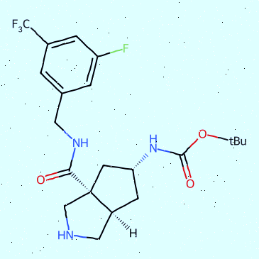 CC(C)(C)OC(=O)N[C@@H]1C[C@H]2CNC[C@@]2(C(=O)NCc2cc(F)cc(C(F)(F)F)c2)C1